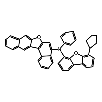 c1ccc(N(c2cc3oc4cc5ccccc5cc4c3c3ccccc23)c2cccc3c2oc2c(C4CCCC4)cccc23)cc1